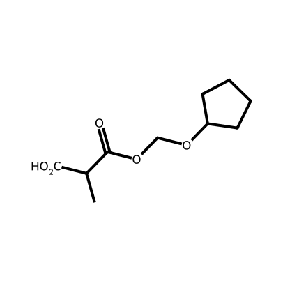 CC(C(=O)O)C(=O)OCOC1CCCC1